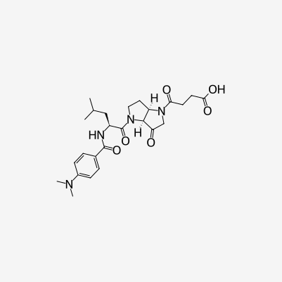 CC(C)C[C@H](NC(=O)c1ccc(N(C)C)cc1)C(=O)N1CC[C@@H]2[C@H]1C(=O)CN2C(=O)CCC(=O)O